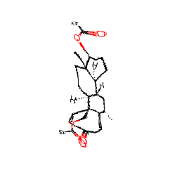 CCC(=O)OC[C@]12C=CC(=O)C=C1[C@@H](C)C[C@H]1[C@@H]3CC[C@H](OC(=O)CC)[C@@]3(C)CC[C@@H]12